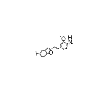 CNc1ccc(C=Cc2cc3cc(I)ccc3o2)cc1OC